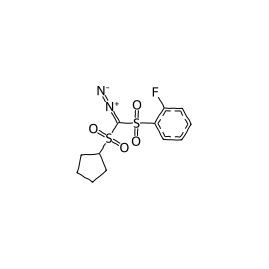 [N-]=[N+]=C(S(=O)(=O)c1ccccc1F)S(=O)(=O)C1CCCC1